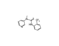 CN(C(=S)Nc1ccccc1C(F)(F)F)c1cccnc1